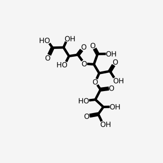 O=C(O)C(O)C(O)C(=O)OC(C(=O)O)C(OC(=O)C(O)C(O)C(=O)O)C(=O)O